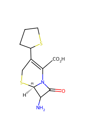 NC1C(=O)N2C(C(=O)O)=C(C3CCCS3)CS[C@H]12